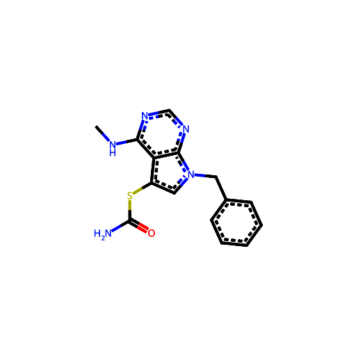 CNc1ncnc2c1c(SC(N)=O)cn2Cc1ccccc1